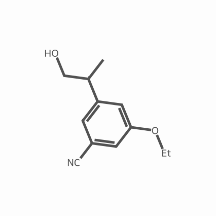 CCOc1cc(C#N)cc([C](C)CO)c1